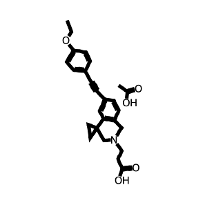 CC(=O)O.CCOc1ccc(C#Cc2ccc3c(c2)C2(CC2)CN(CCC(=O)O)C3)cc1